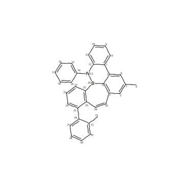 Cc1cc2c3c(c1)-c1ccccc1N(c1ccccc1)B3c1cccc(-c3ccccc3C)c1C=C2